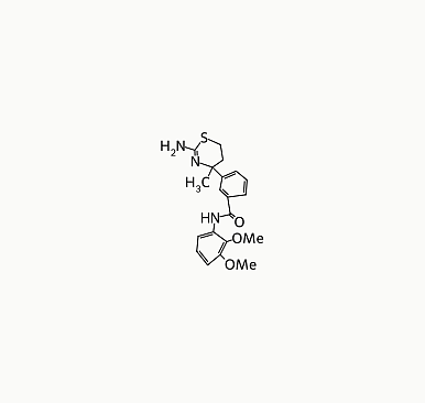 COc1cccc(NC(=O)c2cccc(C3(C)CCSC(N)=N3)c2)c1OC